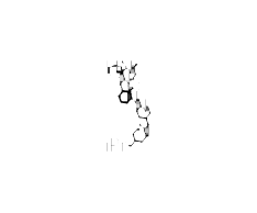 C=C1CCN(Cc2cccn(CN3CCC(CN4CCC(CC(C)C)CC4)CC3)c2=O)C(=O)N1